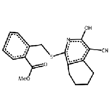 COC(=O)c1ccccc1CSc1nc(O)c(C#N)c2c1CCCC2